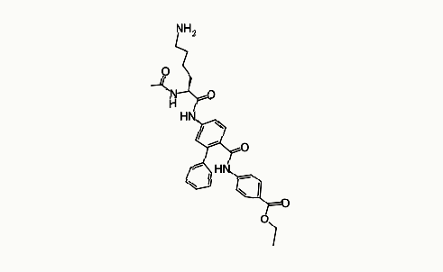 CCOC(=O)c1ccc(NC(=O)c2ccc(NC(=O)[C@H](CCCCN)NC(C)=O)cc2-c2ccccc2)cc1